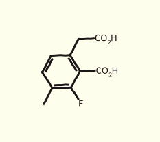 Cc1ccc(CC(=O)O)c(C(=O)O)c1F